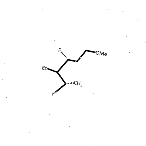 CCC([C@H](C)F)[C@H](F)CCOC